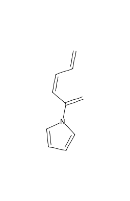 C=C/C=C\C(=C)n1cccc1